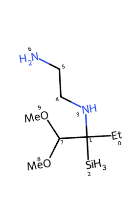 CCC([SiH3])(NCCN)C(OC)OC